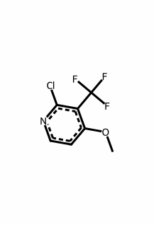 COc1ccnc(Cl)c1C(F)(F)F